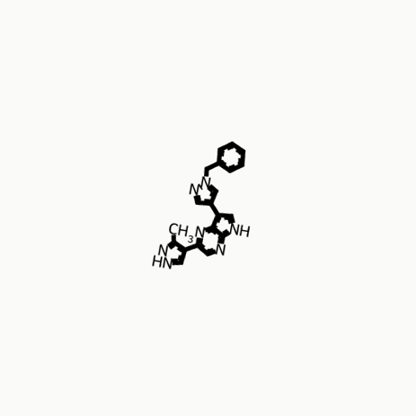 Cc1n[nH]cc1-c1cnc2[nH]cc(-c3cnn(Cc4ccccc4)c3)c2n1